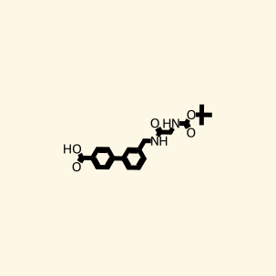 CC(C)(C)OC(=O)NCC(=O)NCc1cccc(-c2ccc(C(=O)O)cc2)c1